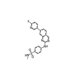 CNS(=O)(=O)c1ccc(Nc2ncc3ccc(-c4ccc(F)nc4)cc3n2)cc1